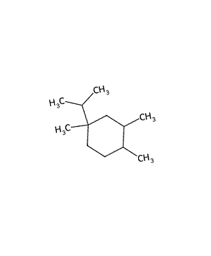 CC1CCC(C)(C(C)C)CC1C